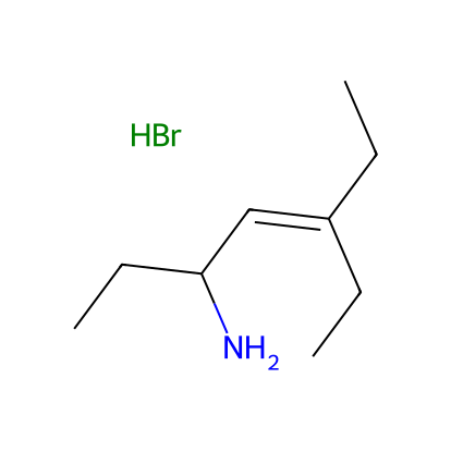 Br.CCC(=CC(N)CC)CC